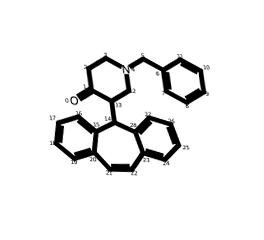 O=C1CCN(Cc2ccccc2)CC1C1c2ccccc2C=Cc2ccccc21